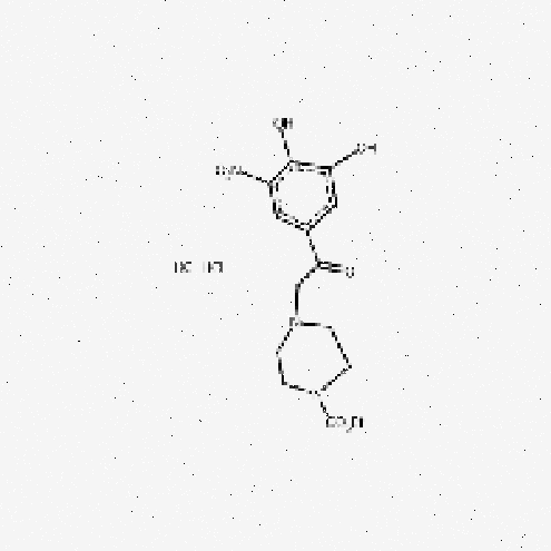 CCOC(=O)N1CCN(CC(=O)c2cc(O)c(O)c([N+](=O)[O-])c2)CC1.Cl.Cl